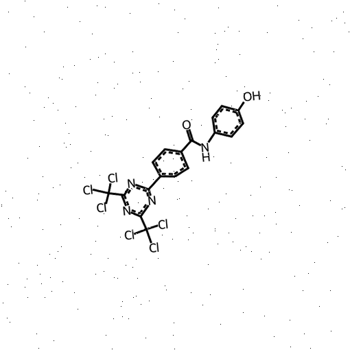 O=C(Nc1ccc(O)cc1)c1ccc(-c2nc(C(Cl)(Cl)Cl)nc(C(Cl)(Cl)Cl)n2)cc1